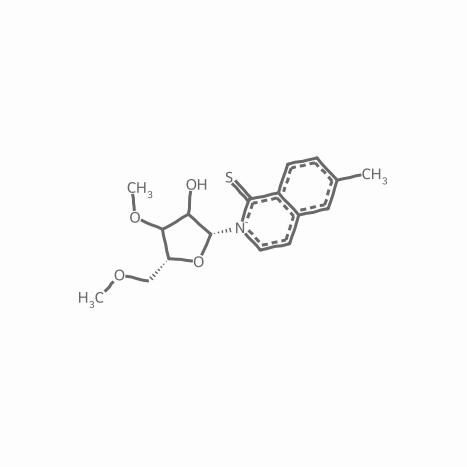 COC[C@H]1O[C@@H](n2ccc3cc(C)ccc3c2=S)C(O)C1OC